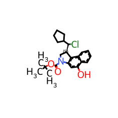 CC(C)(C)OC(=O)N1C[C@@H](C(Cl)C2CCCC2)c2c1cc(O)c1ccccc21